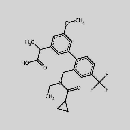 CCN(Cc1cc(C(F)(F)F)ccc1-c1cc(OC)cc(C(C)C(=O)O)c1)C(=O)C1CC1